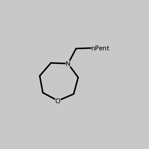 CCCCCCN1CCCOCC1